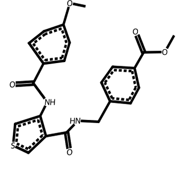 COC(=O)c1ccc(CNC(=O)c2cscc2NC(=O)c2ccc(OC)cc2)cc1